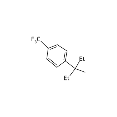 CCC(C)(CC)c1ccc(C(F)(F)F)cc1